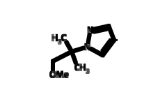 COCC(C)(C)n1c[c]cn1